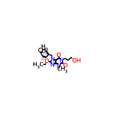 C#C/C=C\C(=C/C)Cn1c(OCC)nc2c1c(=O)n(CCCO)c(=O)n2C